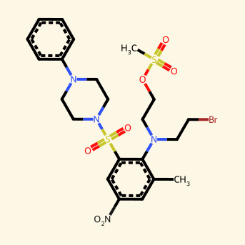 Cc1cc([N+](=O)[O-])cc(S(=O)(=O)N2CCN(c3ccccc3)CC2)c1N(CCBr)CCOS(C)(=O)=O